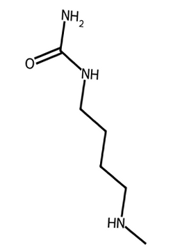 CNCCCCNC(N)=O